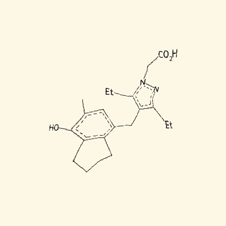 CCc1nn(CC(=O)O)c(CC)c1Cc1cc(C)c(O)c2c1CCC2